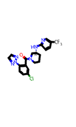 O=C(c1cc(Cl)ccc1-n1nccn1)N1CCC[C@@H](Nc2ccc(C(F)(F)F)cn2)C1